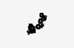 CC(C)n1cnc2c(-c3ccc(F)c(-c4ccc5c(c4)CN(C)C5=O)c3)cnnc21